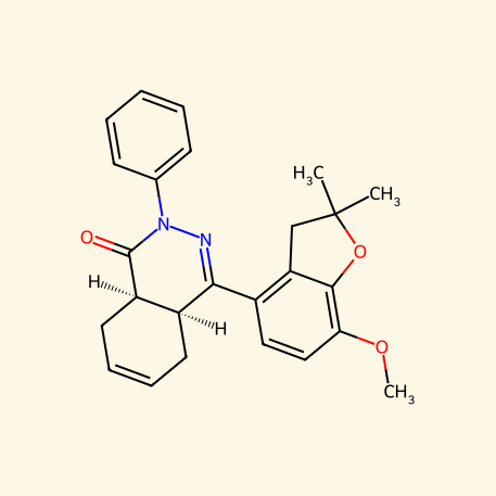 COc1ccc(C2=NN(c3ccccc3)C(=O)[C@@H]3CC=CC[C@H]23)c2c1OC(C)(C)C2